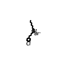 CCCCCCC[N+](C)(C)CCCCc1ccc(Cl)cc1.[Br-]